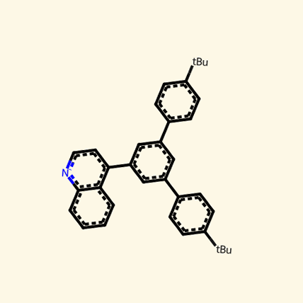 CC(C)(C)c1ccc(-c2cc(-c3ccc(C(C)(C)C)cc3)cc(-c3ccnc4ccccc34)c2)cc1